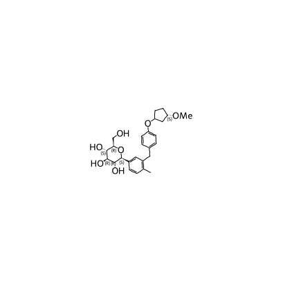 CO[C@H]1CCC(Oc2ccc(Cc3cc([C@@H]4O[C@H](CO)[C@@H](O)[C@H](O)[C@H]4O)ccc3C)cc2)C1